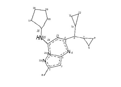 Cc1cc2nc(C(C3CC3)C3CC3)cc(NC3CCCC3)n2n1